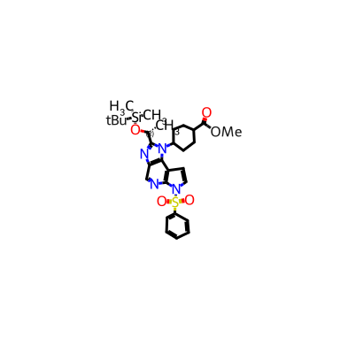 COC(=O)C1CCC(n2c([C@@H](C)O[Si](C)(C)C(C)(C)C)nc3cnc4c(ccn4S(=O)(=O)c4ccccc4)c32)CC1